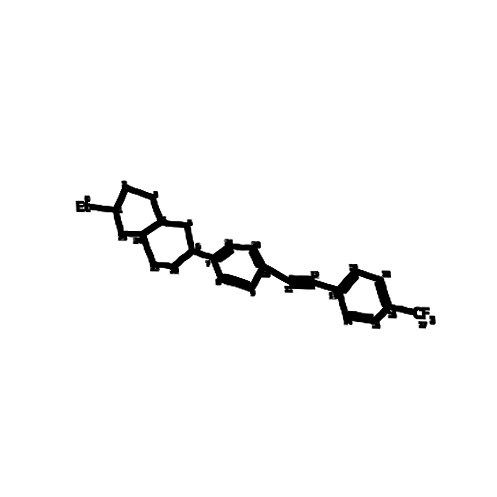 CCC1CCC2CC(c3ccc(C#Cc4ccc(C(F)(F)F)cc4)cc3)CCC2C1